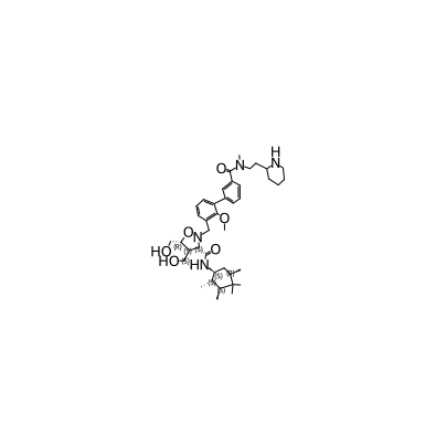 COc1c(CN2O[C@@H](CO)[C@H]([C@H](C)O)[C@H]2C(=O)N[C@H]2C[C@@H](C)C(C)(C)[C@@H](C)[C@@H]2C)cccc1-c1cccc(C(=O)N(C)CCC2CCCCN2)c1